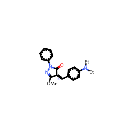 CCN(CC)c1ccc(/C=C2\C(=O)N(c3ccccc3)N=C2OC)cc1